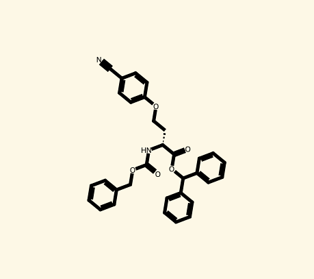 N#Cc1ccc(OCC[C@@H](NC(=O)OCc2ccccc2)C(=O)OC(c2ccccc2)c2ccccc2)cc1